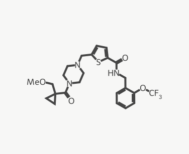 COCC1(C(=O)N2CCN(Cc3ccc(C(=O)NCc4ccccc4OC(F)(F)F)s3)CC2)CC1